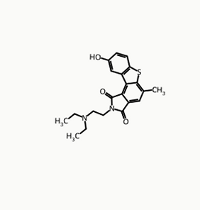 CCN(CC)CCN1C(=O)c2cc(C)c3sc4ccc(O)cc4c3c2C1=O